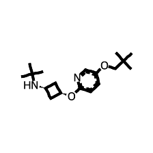 CC(C)(C)COc1ccc(O[C@H]2C[C@@H](NC(C)(C)C)C2)nc1